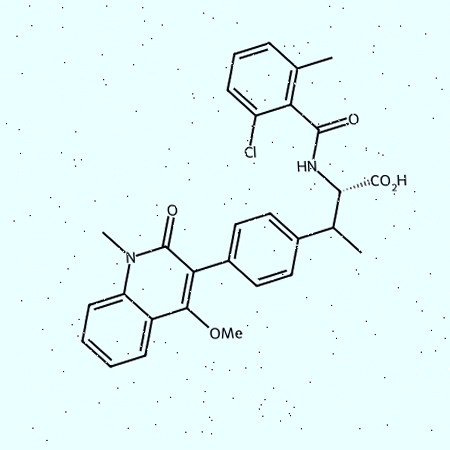 COc1c(-c2ccc(C(C)[C@H](NC(=O)c3c(C)cccc3Cl)C(=O)O)cc2)c(=O)n(C)c2ccccc12